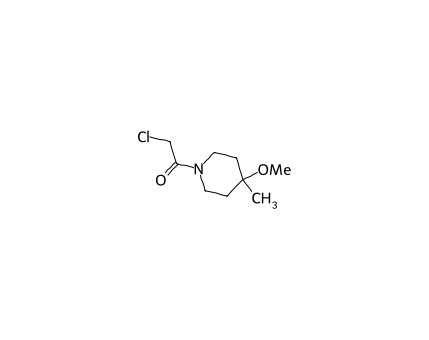 COC1(C)CCN(C(=O)CCl)CC1